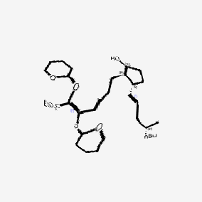 CCCC[C@@H](C)C/C=C/[C@H]1CC[C@H](O)[C@@H]1CCCC/C(OC1CCCCO1)=C(\OC1CCCCO1)C(=O)OCC